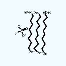 CCCCCCCCCCCCCCCCC[CH2][Zn+].CCCCCCCCCCCCCCCCC[CH2][Zn+].CCCCCCCCCCCCCCCCC[CH2][Zn+].[O-]P([O-])(=S)[S-]